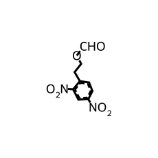 O=COCCc1ccc([N+](=O)[O-])cc1[N+](=O)[O-]